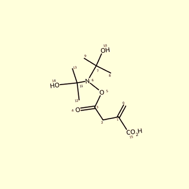 C=C(CC(=O)ON(C(C)(C)O)C(C)(C)O)C(=O)O